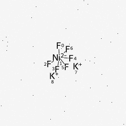 [F][Ni-2]([F])([F])([F])([F])[F].[K+].[K+]